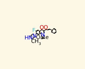 COc1c(N2CCNC(C)C2)c(F)cc2c(=O)c(C(=O)C=Cc3ccccc3)cn(C3CC3)c12